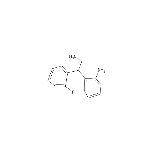 CCC(c1ccccc1N)c1ccccc1F